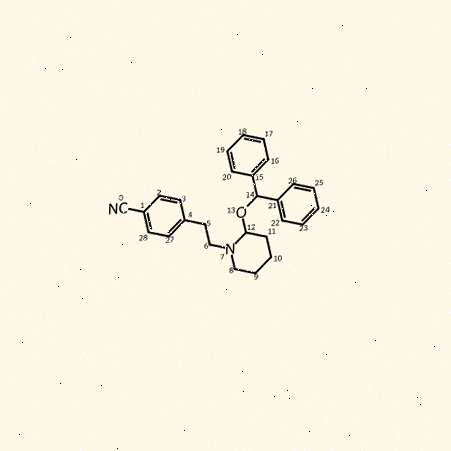 N#Cc1ccc(CCN2CCCCC2OC(c2ccccc2)c2ccccc2)cc1